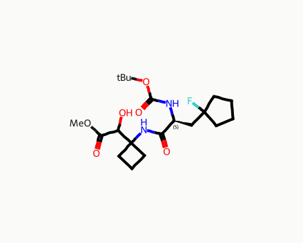 COC(=O)C(O)C1(NC(=O)[C@H](CC2(F)CCCC2)NC(=O)OC(C)(C)C)CCC1